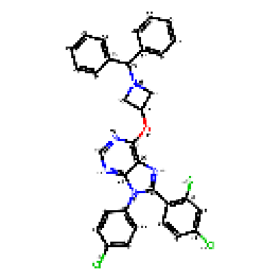 Clc1ccc(-n2c(-c3ccc(Cl)cc3Cl)nc3c(OC4CN(C(c5ccccc5)c5ccccc5)C4)ncnc32)cc1